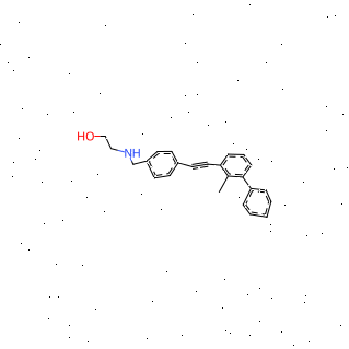 Cc1c(C#Cc2ccc(CNCCO)cc2)cccc1-c1ccccc1